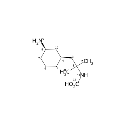 CC(C)(C[C@H]1CCC[C@@H](N)C1)NC(=O)O